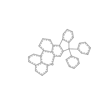 c1ccc(C2(c3ccccc3)c3ccccc3-c3c2cc2oc4cccc5cccc(c6cccc3c26)c54)cc1